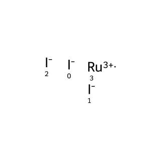 [I-].[I-].[I-].[Ru+3]